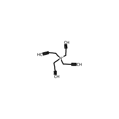 C#CC[N+](CC#C)(CC#C)CC#C